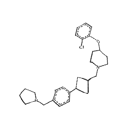 Clc1ccccc1OC1CCN(CC2CC(c3ccc(CN4CCCC4)cc3)C2)CC1